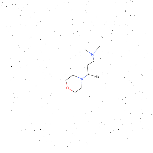 CCC(CCN(C)C)N1CCOCC1